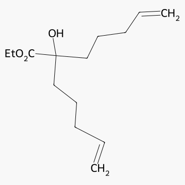 C=CCCCC(O)(CCCC=C)C(=O)OCC